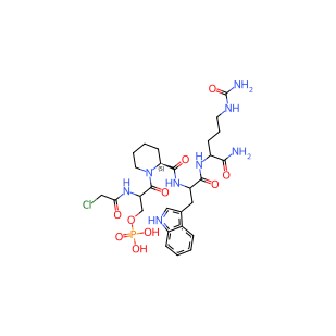 NC(=O)NCCCC(NC(=O)C(Cc1c[nH]c2ccccc12)NC(=O)[C@@H]1CCCCN1C(=O)C(COP(=O)(O)O)NC(=O)CCl)C(N)=O